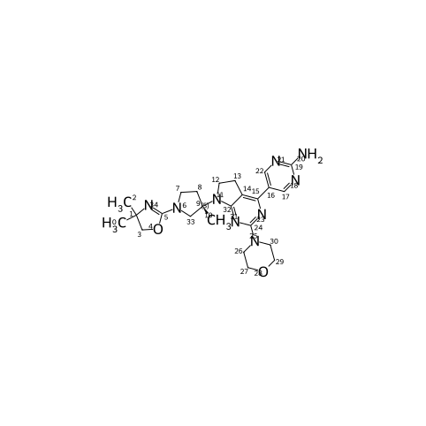 CC1(C)COC(N2CC[C@](C)(N3CCc4c(-c5cnc(N)nc5)nc(N5CCOCC5)nc43)C2)=N1